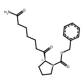 NC(=O)CCCCCC(=O)[C@@H]1CCCN1C(=O)OCc1ccccc1